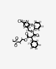 CS(=O)(=O)CCOC(=O)C(C(=O)N(Cc1cnc(Cl)s1)C1C=CC=CN1)c1ccccc1